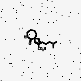 C=CC1(C=C(CCCN(C)C)C(=O)O)CCCCNC1=O